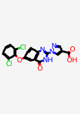 O=C(O)c1cnn(-c2nc3ccc(Oc4c(Cl)cccc4Cl)cc3c(=O)[nH]2)c1